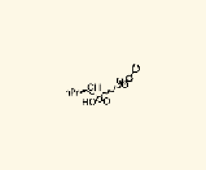 CCCC#CC(O)CC[C@H]1[C@H](O)CC(=O)[C@@H]1CC=CCCCC(=O)Oc1ccc(-c2ccccc2)cc1